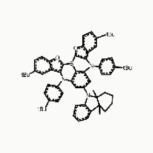 CC(C)(C)c1ccc(N2c3cc(N4c5ccccc5C5(C)CCCCC45C)cc4c3B(c3oc5ccc(C(C)(C)C)cc5c32)c2oc3ccc(C(C)(C)C)cc3c2N4c2ccc(C(C)(C)C)cc2)cc1